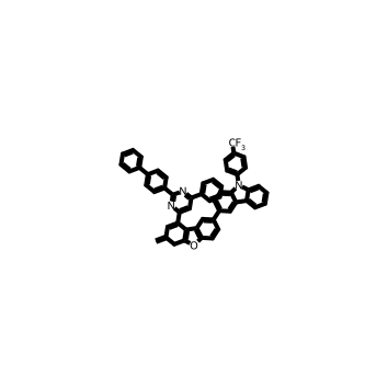 C=C1C=C(c2cc(-c3ccccc3)nc(-c3ccc(-c4ccccc4)cc3)n2)c2c(oc3ccc(-c4ccc5c(c4)c4ccccc4n5-c4ccc(C(F)(F)F)cc4)cc23)C1